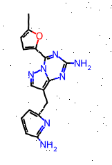 Cc1ccc(-c2nc(N)nc3c(Cc4cccc(N)n4)cnn23)o1